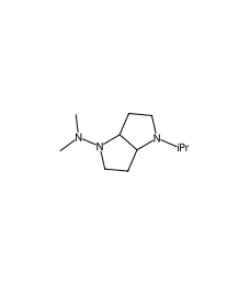 CC(C)N1CCC2C1CCN2N(C)C